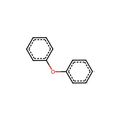 [c]1[c]cc(Oc2ccccc2)cc1